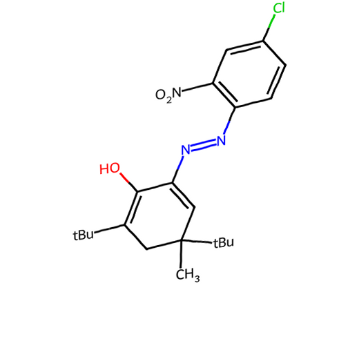 CC(C)(C)C1=C(O)C(N=Nc2ccc(Cl)cc2[N+](=O)[O-])=CC(C)(C(C)(C)C)C1